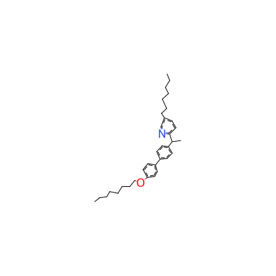 CCCCCCCCOc1ccc(-c2ccc(C(C)c3ccc(CCCCCCC)cn3)cc2)cc1